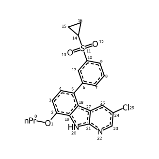 [CH2]CCOc1ccc(-c2cccc(S(=O)(=O)C3CC3)c2)c2c1[nH]c1ncc(Cl)cc12